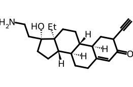 C#CC1C[C@H]2C(=CC1=O)CC[C@@H]1[C@@H]2CC[C@@]2(CC)[C@H]1CC[C@@]2(O)CCN